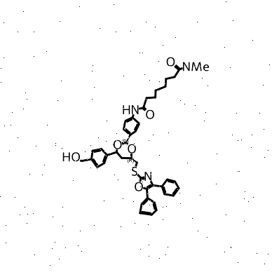 CNC(=O)CCCCCCC(=O)Nc1ccc([C@@H]2OC(c3ccc(CO)cc3)C[C@H](CSc3nc(-c4ccccc4)c(-c4ccccc4)o3)O2)cc1